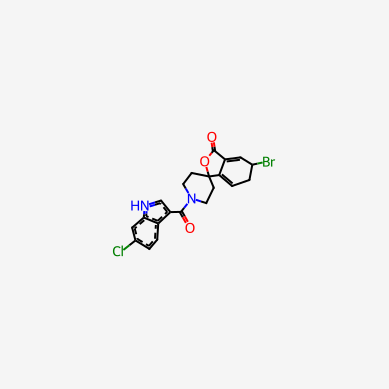 O=C1OC2(CCN(C(=O)c3c[nH]c4cc(Cl)ccc34)CC2)C2=CCC(Br)C=C12